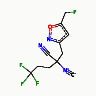 [C-]#[N+]C(C#N)(CCC(F)(F)F)Cc1cc(CF)on1